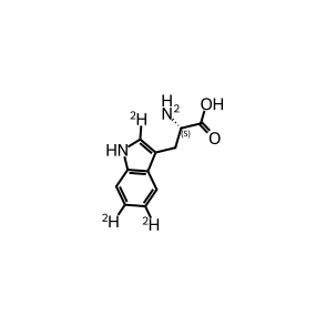 [2H]c1cc2[nH]c([2H])c(C[C@H](N)C(=O)O)c2cc1[2H]